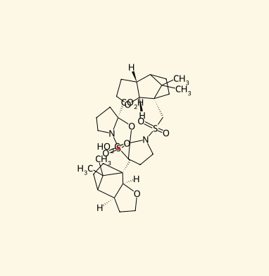 CC1(C)C2CC[C@@]1(CS(=O)(=O)N1CCC[C@]1(O[C@]1(C(=O)O)CCCN1S(=O)(=O)C[C@]13CCC([C@@H]4CCO[C@@H]41)C3(C)C)C(=O)O)[C@@H]1OCC[C@H]21